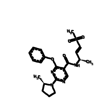 C[C@@H](/C=C/S(C)(=O)=O)NC(=O)c1cnc(N2CCC[C@@H]2C)nc1Oc1ccccc1